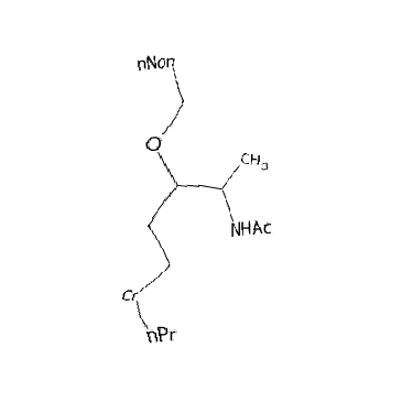 CCCCCCCCCCOC(C[CH2][Cr][CH2]CC)C(C)NC(C)=O